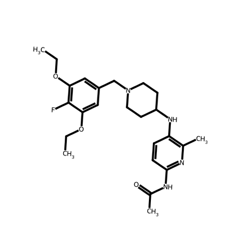 CCOc1cc(CN2CCC(Nc3ccc(NC(C)=O)nc3C)CC2)cc(OCC)c1F